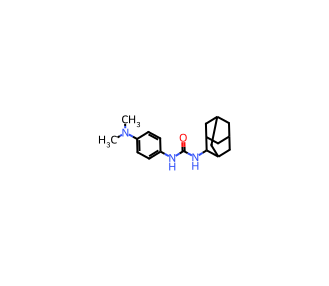 CN(C)c1ccc(NC(=O)NC2C3CC4CC(C3)CC2C4)cc1